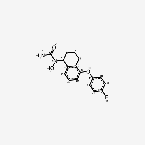 NC(=O)N(O)C1CCCc2c(Oc3ccc(F)cc3)cccc21